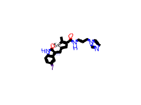 Cc1[se]c(/C=C2\C(=O)Nc3ccc(I)cc32)cc1C(=O)NCCCn1ccnc1